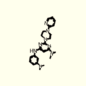 CN(C)c1cccc(Nc2cc(N(C)C)nc(N3CCN(c4ccccn4)CC3)n2)c1